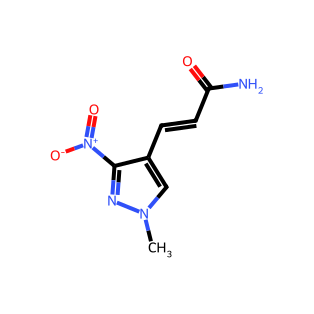 Cn1cc(C=CC(N)=O)c([N+](=O)[O-])n1